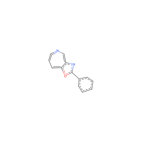 C1=CC=c2oc(-c3ccccc3)nc2=CN=1